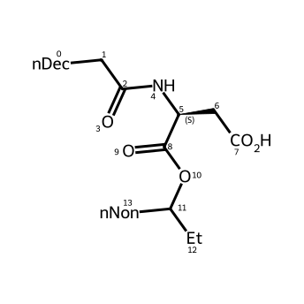 CCCCCCCCCCCC(=O)N[C@@H](CC(=O)O)C(=O)OC(CC)CCCCCCCCC